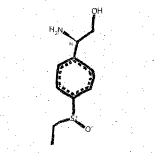 CC[S+]([O-])c1ccc([C@@H](N)CO)cc1